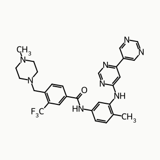 Cc1ccc(NC(=O)c2ccc(CN3CCN(C)CC3)c(C(F)(F)F)c2)cc1Nc1cc(-c2cncnc2)ncn1